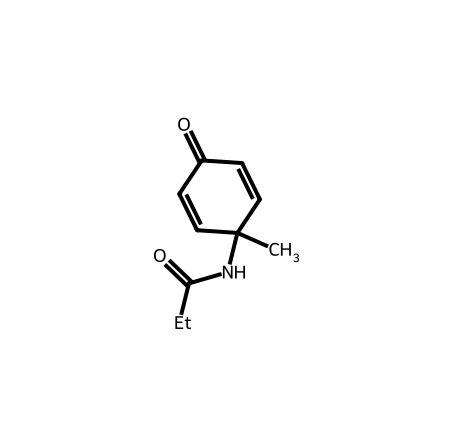 CCC(=O)NC1(C)C=CC(=O)C=C1